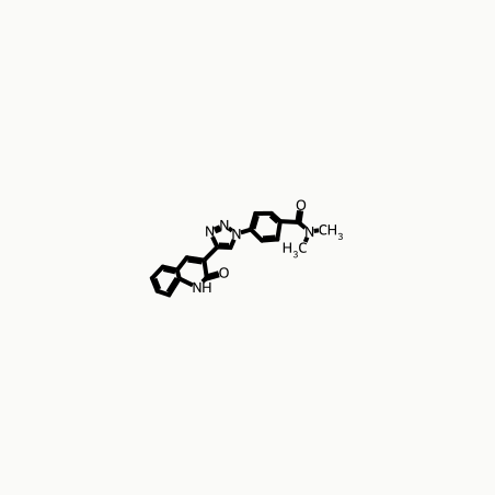 CN(C)C(=O)c1ccc(-n2cc(-c3cc4ccccc4[nH]c3=O)nn2)cc1